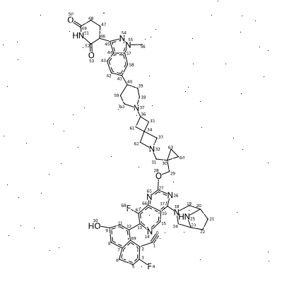 C#Cc1c(F)ccc2cc(O)cc(-c3ncc4c(N5CC6CCC(C5)N6)nc(OCC5(CN6CC7(CC(N8CCC(c9ccc%10c(C%11CCC(=O)NC%11=O)nn(C)c%10c9)CC8)C7)C6)CC5)nc4c3F)c12